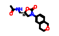 CC(=O)NC[C@H]1CN(c2ccc3c(c2)CCOC3)C(=O)O1